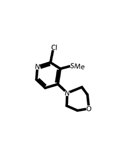 CSc1c(N2CCOCC2)ccnc1Cl